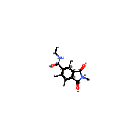 CCNC(=O)c1c(C)c(C)c2c(c1C)C(=O)N(C)C2=O